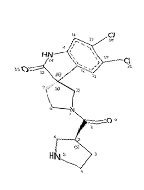 O=C([C@H]1CCNC1)N1CC[C@]2(C1)C(=O)Nc1cc(Cl)c(Cl)cc12